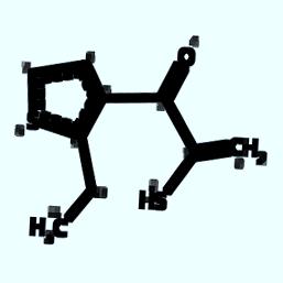 C=C(S)C(=O)c1ccsc1CC